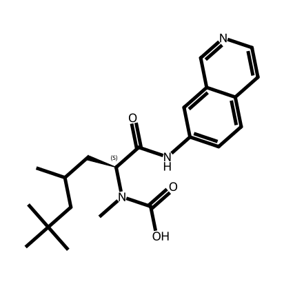 CC(C[C@@H](C(=O)Nc1ccc2ccncc2c1)N(C)C(=O)O)CC(C)(C)C